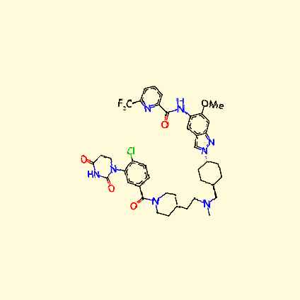 COc1cc2nn([C@H]3CC[C@H](CN(C)CCC4CCN(C(=O)c5ccc(Cl)c(N6CCC(=O)NC6=O)c5)CC4)CC3)cc2cc1NC(=O)c1cccc(C(F)(F)F)n1